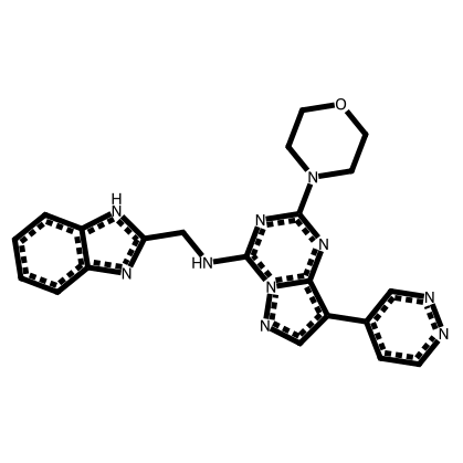 c1ccc2[nH]c(CNc3nc(N4CCOCC4)nc4c(-c5ccnnc5)cnn34)nc2c1